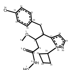 COC(CC(=O)NO)C(Cc1ccc(Cl)cc1)c1ccnn1C1CCC1